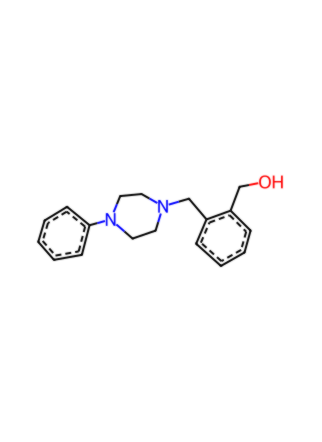 OCc1ccccc1CN1CCN(c2ccccc2)CC1